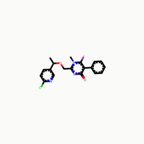 CC(OCc1nc(=O)c(-c2ccccc2)c(I)n1C)c1ccc(Cl)nc1